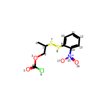 CC(COC(=O)Cl)SSc1ccccc1[N+](=O)[O-]